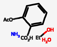 CC(=O)Oc1ccccc1C(=O)O.CCO.N.O